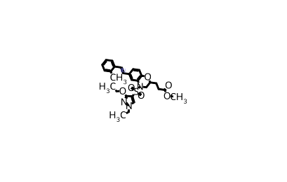 CCOc1nn(CC)cc1S(=O)(=O)N1CC(CCC(=O)OC)Oc2ccc(/C=C/c3ccccc3C)cc21